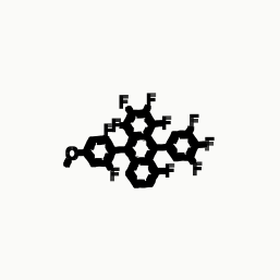 COc1cc(F)c(-c2c3cccc(F)c3c(-c3cc(F)c(F)c(F)c3)c3c(F)c(F)c(F)c(F)c23)c(F)c1